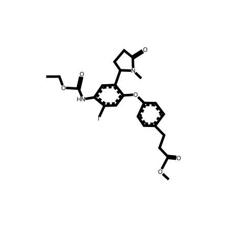 CCOC(=O)Nc1cc(C2CCC(=O)N2C)c(Oc2ccc(CCC(=O)OC)cc2)cc1I